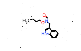 CCCCON(C=O)Cc1c[nH]c2ccccc12